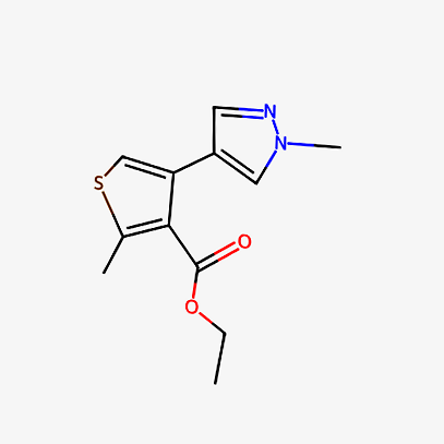 CCOC(=O)c1c(-c2cnn(C)c2)csc1C